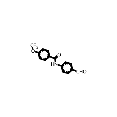 O=Cc1ccc(NC(=O)c2ccc(OC(F)(F)F)cc2)cc1